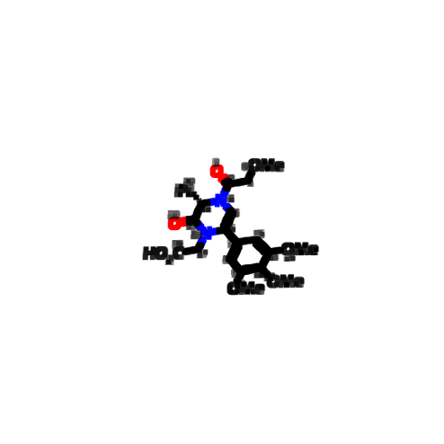 COCC(=O)N1C=C(c2cc(OC)c(OC)c(OC)c2)N(CC(=O)O)C(=O)[C@@H]1C(C)C